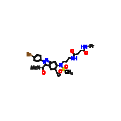 CNC(=O)c1c2cc(C3CC3)c(N(CCCNC(=O)CCC(=O)NC(C)C)S(C)(=O)=O)cc2nn1-c1ccc(Br)cc1